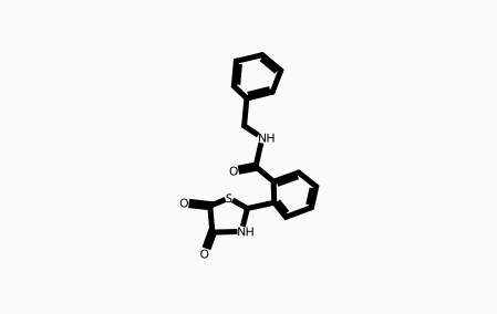 O=C1NC(c2ccccc2C(=O)NCc2ccccc2)SC1=O